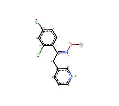 CC(C)ON=C(Cc1cccnc1)c1ccc(Cl)cc1Cl